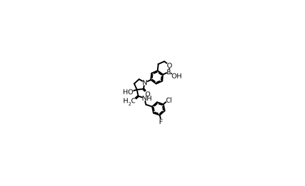 C=C(NCc1cc(F)cc(Cl)c1)C1(O)CCN(c2ccc3c(c2)CCOB3O)C1=O